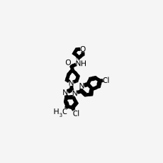 Cc1cc2nc(N3CCC(C(=O)N[C@@H]4CCOC4)CC3)n(-c3ccc4cc(Cl)ccc4n3)c2cc1Cl